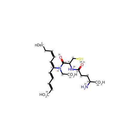 CCCCCCCCCCC/C=C\C=C(C=CC=CC(=O)O)N(CC(=O)O)C(=O)C(CS)NC(=O)CCC(N)C(=O)O